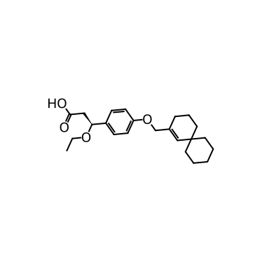 CCO[C@@H](CC(=O)O)c1ccc(OCC2=CC3(CCCCC3)CCC2)cc1